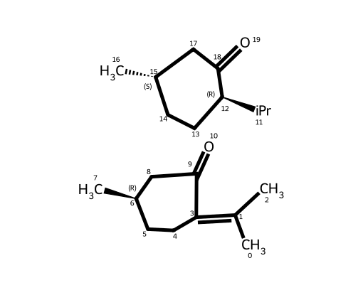 CC(C)=C1CC[C@@H](C)CC1=O.CC(C)[C@H]1CC[C@H](C)CC1=O